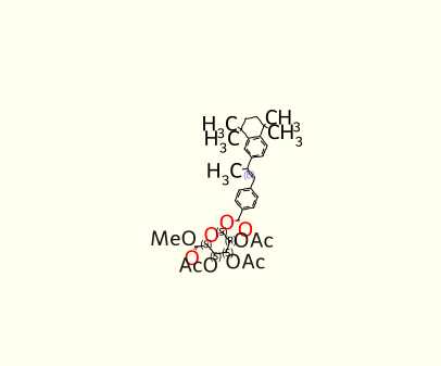 COC(=O)[C@H]1O[C@@H](OC(=O)c2ccc(/C=C(\C)c3ccc4c(c3)C(C)(C)CCC4(C)C)cc2)[C@H](OC(C)=O)[C@@H](OC(C)=O)[C@@H]1OC(C)=O